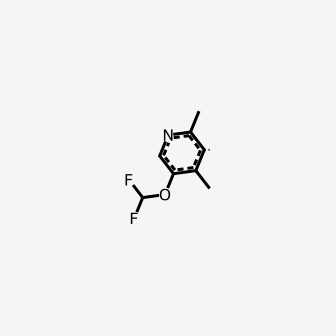 Cc1[c]c(C)c(OC(F)F)cn1